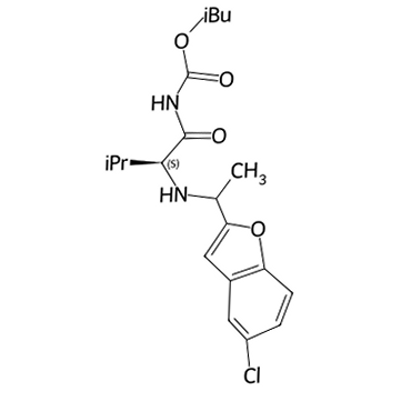 CCC(C)OC(=O)NC(=O)[C@@H](NC(C)c1cc2cc(Cl)ccc2o1)C(C)C